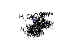 C=C/C=C(Cl)\C=C\CC(C=O)N(C)C(=O)C(CCC(=O)NSC)NC(=O)C(CC(C)C)N(C)C(=O)CN(CCCC)C(=O)C(NC(=O)C(CC(C)C)N(C)C)C(C)O